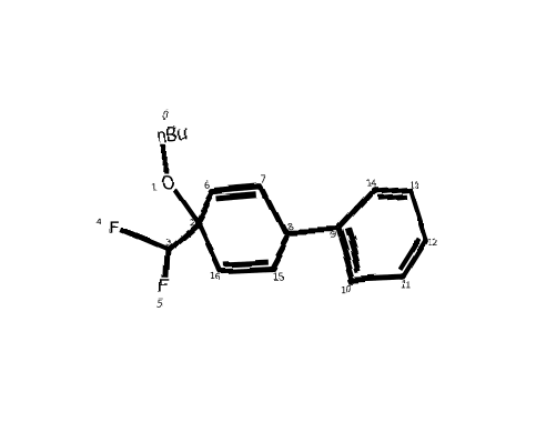 CCCCOC1(C(F)F)C=CC(c2ccccc2)C=C1